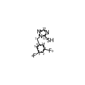 Fc1cc(F)cc(Cn2ncnc2S)c1